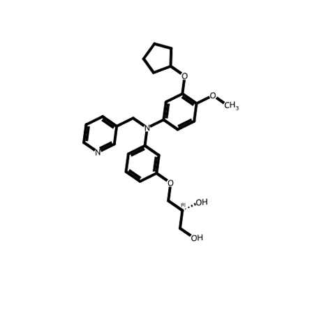 COc1ccc(N(Cc2cccnc2)c2cccc(OC[C@H](O)CO)c2)cc1OC1CCCC1